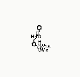 COC[C@@H](NC(=O)OC(C)(C)C)c1cccc(CCNC(=O)OCc2ccccc2)c1